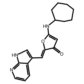 O=C1C=C(NC2CCCCCC2)O/C1=C\c1c[nH]c2ncccc12